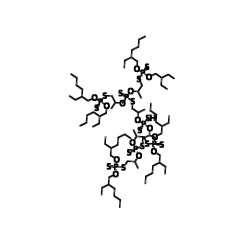 CCCCC(CC)COP(=S)(OCC(CC)CC)SCC(C)OP(=S)(OC(C)CSP(=S)(OCC(CC)CCCC)OCC(CC)CCCC)SCC(C)OP(=S)(S)OC(C)CSP(=S)(OC(C)CSP(=S)(OCC(CC)CCCC)OCC(CC)CCCC)OC(C)CSP(=S)(OCC(CC)CCCC)OCC(CC)CCCC